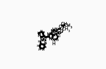 CC(C)(C)OC(=O)NS(=O)(=O)N1CCNc2nc(-c3nn(Cc4ccccc4F)c4ncccc34)nc(N)c21